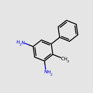 Cc1c(N)cc(N)cc1-c1ccccc1